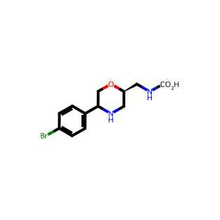 O=C(O)NC[C@H]1CNC(c2ccc(Br)cc2)CO1